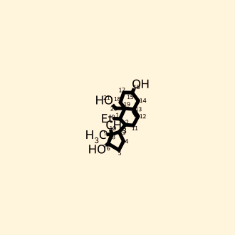 CCC1C(C2CCC(O)C2(C)C)CC=C2CC(O)CCC21CO